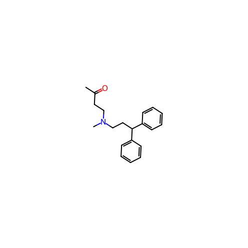 CC(=O)CCN(C)CCC(c1ccccc1)c1ccccc1